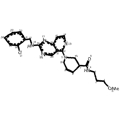 COCCCNC(=O)C1CCCN(c2nccc3nc(NCc4ccccc4Cl)ncc23)C1